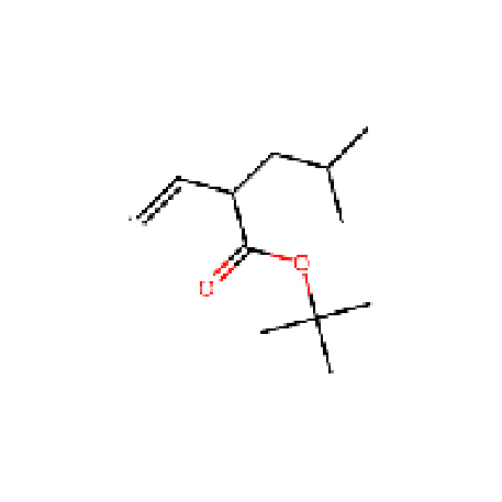 [CH]=CC(CC(C)C)C(=O)OC(C)(C)C